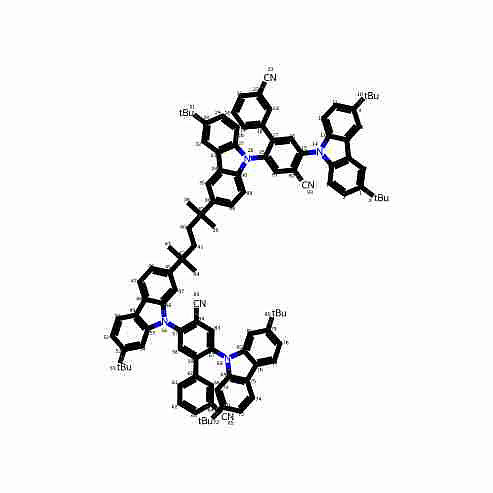 CC(C)(C)c1ccc2c(c1)c1cc(C(C)(C)C)ccc1n2-c1cc(-c2cccc(C#N)c2)c(-n2c3ccc(C(C)(C)C)cc3c3cc(C(C)(C)CCC(C)(C)c4ccc5c6ccc(C(C)(C)C)cc6n(-c6cc(-c7cccc(C#N)c7)c(-n7c8cc(C(C)(C)C)ccc8c8ccc(C(C)(C)C)cc87)cc6C#N)c5c4)ccc32)cc1C#N